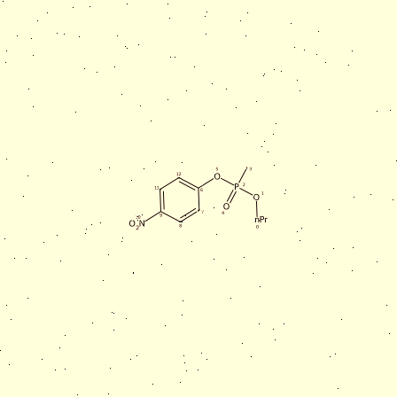 CCCOP(C)(=O)Oc1ccc([N+](=O)[O-])cc1